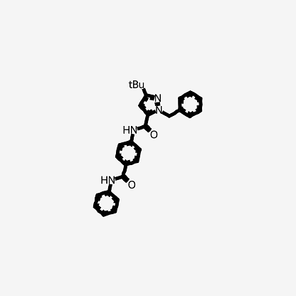 CC(C)(C)c1cc(C(=O)Nc2ccc(C(=O)Nc3ccccc3)cc2)n(Cc2ccccc2)n1